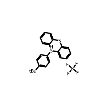 CC(C)(C)c1ccc([SH]2c3ccccc3Sc3ccccc32)cc1.F[B-](F)(F)F